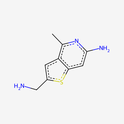 Cc1nc(N)cc2sc(CN)cc12